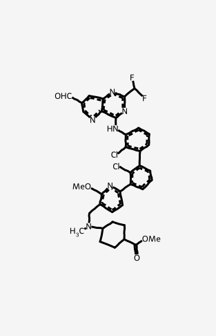 COC(=O)C1CCC(N(C)Cc2ccc(-c3cccc(-c4cccc(Nc5nc(C(F)F)nc6cc(C=O)cnc56)c4Cl)c3Cl)nc2OC)CC1